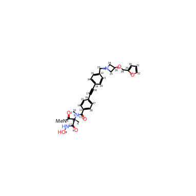 CNC(=O)[C@@](C)(C(=O)NO)N(C)C(=O)c1ccc(C#Cc2ccc(CN3CC(OCc4ccco4)C3)cc2)cc1